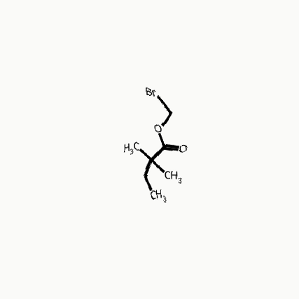 CCC(C)(C)C(=O)OCBr